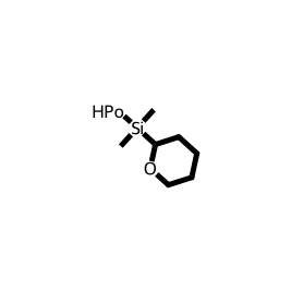 C[Si](C)([PoH])C1CCCCO1